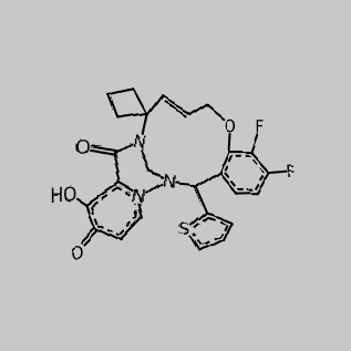 O=C1c2c(O)c(=O)ccn2N2CN1C1(/C=C/COc3c(ccc(F)c3F)C2c2cccs2)CCC1